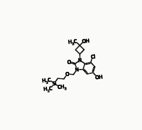 CC1(O)CC(n2c(=O)n(COCC[Si](C)(C)C)c3cc(O)cc(Cl)c32)C1